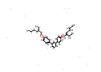 CCCCC(CC)COc1ccc(-c2c[c]cc(-c3ccc(OCC(CC)CCCC)cc3)c2)cc1